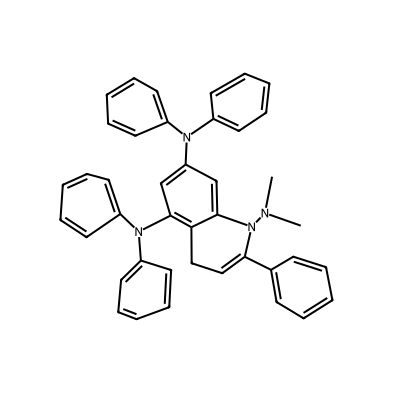 CN(C)N1C(c2ccccc2)=CCc2c(N(c3ccccc3)c3ccccc3)cc(N(c3ccccc3)c3ccccc3)cc21